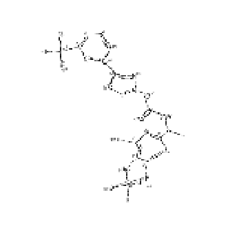 CC(NC(=O)Oc1coc(-c2cccc(C(F)(F)F)c2)n1)c1cc(F)c(NS(C)(=O)=O)c(F)c1